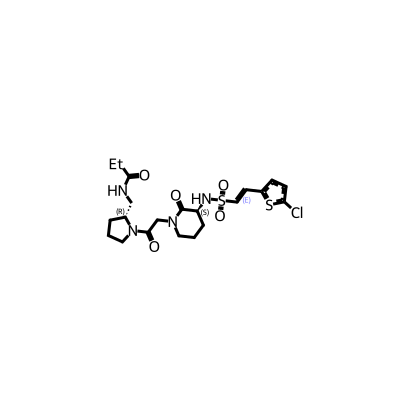 CCC(=O)NC[C@H]1CCCN1C(=O)CN1CCC[C@H](NS(=O)(=O)/C=C/c2ccc(Cl)s2)C1=O